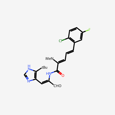 CN/C(=C\C=C\c1cc(F)ccc1Cl)C(=O)N/C(C=O)=C\c1nc[nH]c1C(C)(C)C